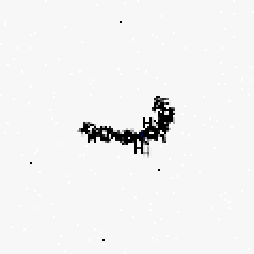 COC1=CC(=N)/C(=C\NC2CCN(CCN3CCN(C(=O)OC(C)(C)C)CC3)CC2)C=C1NC(=O)c1cccc(C(F)(F)F)n1